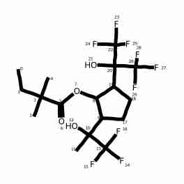 CCC(C)(C)C(=O)OC1C(C(C)(O)C(F)(F)F)CCC1C(O)(C(F)(F)F)C(F)(F)F